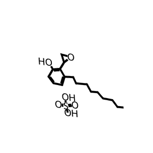 CCCCCCCCCc1cccc(O)c1C1CO1.O=S(=O)(O)O